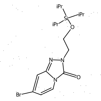 CC(C)[Si](OCCn1nc2cc(Br)ccn2c1=O)(C(C)C)C(C)C